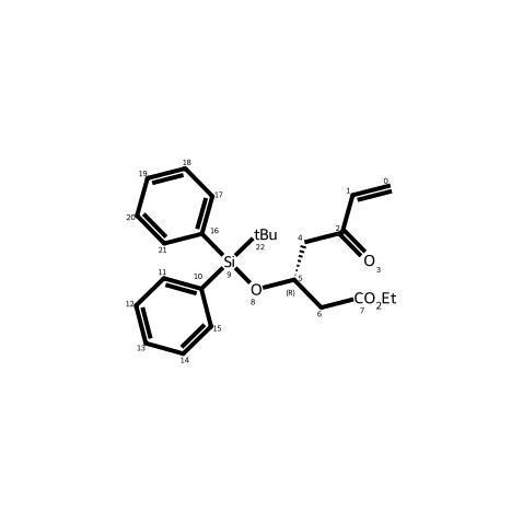 C=CC(=O)C[C@H](CC(=O)OCC)O[Si](c1ccccc1)(c1ccccc1)C(C)(C)C